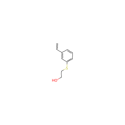 C=Cc1cccc(SCCO)c1